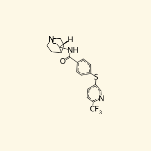 O=C(N[C@H]1CN2CCC1CC2)c1ccc(Sc2ccc(C(F)(F)F)nc2)cc1